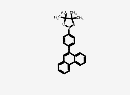 CC1(C)OB(c2ccc(-c3cc4ccccc4c4ccccc34)cc2)SC1(C)C